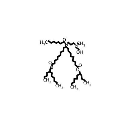 CCCCCCCC(=O)N(CCCN(C)CCO)C(CCCCCCCCC(=O)OCC(CCCC)CCCCCC)CCCCCCCCC(=O)OCC(CCCC)CCCCCC